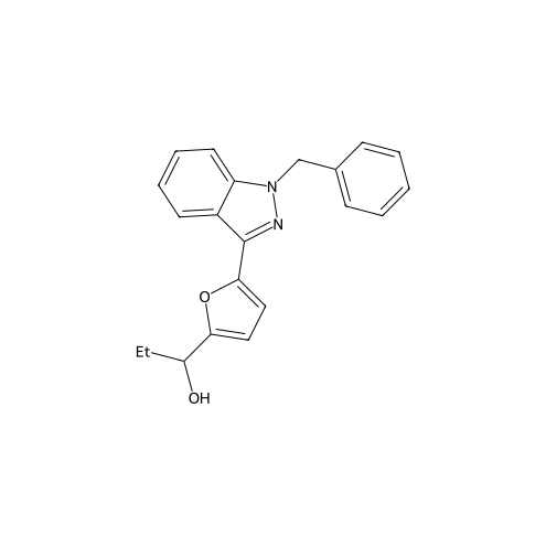 CCC(O)c1ccc(-c2nn(Cc3ccccc3)c3ccccc23)o1